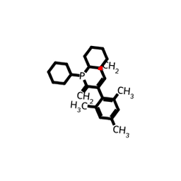 C=C/C=C(\C(=C)P(C1CCCCC1)C1CCCCC1)c1c(C)cc(C)cc1C